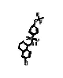 O=S(=O)(NC1CCCc2cc(Cl)ccc21)c1ccc(OC(F)(F)F)cc1